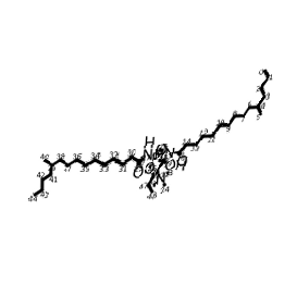 CCCCC(C)CCCCCCCCCC(=O)NC(O)(C[N+](C)(C)C)P(=O)(NC(=O)CCCCCCCCCC(C)CCCC)OCCC